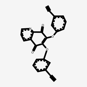 C#Cc1cccc(OC2=C(Oc3cccc(C#C)c3)C(=O)c3ncccc3C2=O)c1